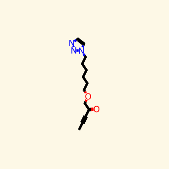 CC#CC(=O)COCCCCCCn1ccnn1